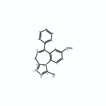 CSc1ccc2c(c1)C(c1ccccc1)=NCc1nnc(Br)n1-2